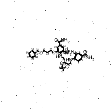 CC1(C)OC(CNc2ccc(C(N)=O)cc2N)[C@@H](CNc2c(N)cc(C(N)=O)cc2OCCCOCc2ccccc2)O1